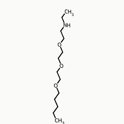 CCCCCOCCOCCOCCNCC